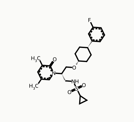 Cc1cc(C)c(=O)n([C@@H](CNS(=O)(=O)C2CC2)CO[C@H]2CC[C@@H](c3cccc(F)c3)CC2)c1